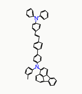 Cc1cccc(N(c2ccc(-c3ccc(/C=C/c4ccc(N(c5ccccc5)c5ccccc5)cc4)cc3)cc2)c2ccc3c4c(cccc24)-c2ccccc2-3)c1